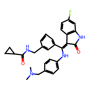 CN(C)Cc1ccc(N/C(=C2\C(=O)Nc3cc(F)ccc32)c2cccc(CNC(=O)C3CC3)c2)cc1